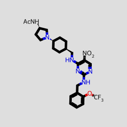 CC(=O)N[C@H]1CCN([C@H]2CC[C@H](CNc3nc(NCc4ccccc4OC(F)(F)F)ncc3[N+](=O)[O-])CC2)C1